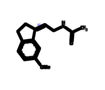 COc1ccc2c(c1)/C(=C\CNC(=O)C(F)(F)F)CC2